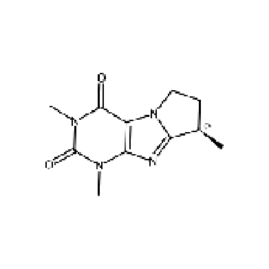 C[C@@H]1CCn2c1nc1c2c(=O)n(C)c(=O)n1C